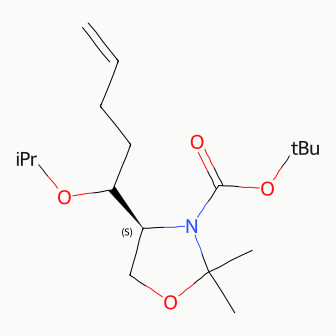 C=CCCC(OC(C)C)[C@@H]1COC(C)(C)N1C(=O)OC(C)(C)C